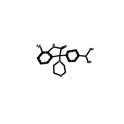 O=C1Nc2c(C(F)(F)F)cccc2C1(c1ccc(B(O)O)cc1)N1CCOCC1